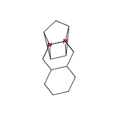 C1CCC2C(C1)C1C3C4CC5C3C2N2C5C4N12